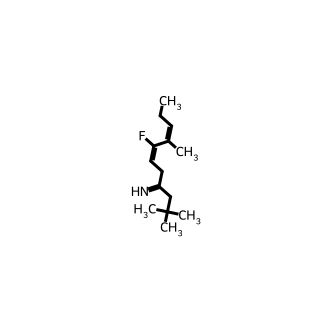 CC/C=C(C)\C(F)=C/CC(=N)CC(C)(C)C